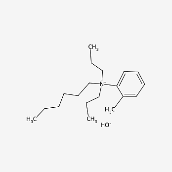 CCCCCC[N+](CCC)(CCC)c1ccccc1C.[OH-]